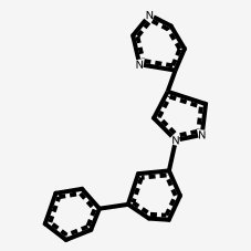 c1ccc(-c2cccc(-n3cc(-c4ccncn4)cn3)c2)cc1